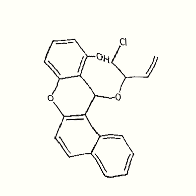 C=CC(CCl)OC1c2c(O)cccc2Oc2ccc3ccccc3c21